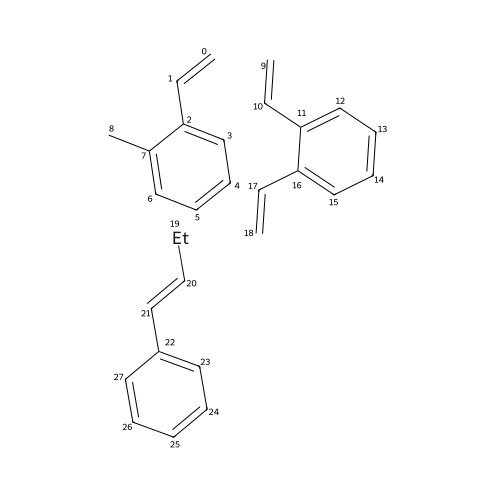 C=Cc1ccccc1C.C=Cc1ccccc1C=C.CCC=Cc1ccccc1